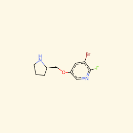 Fc1ncc(OC[C@H]2CCCN2)cc1Br